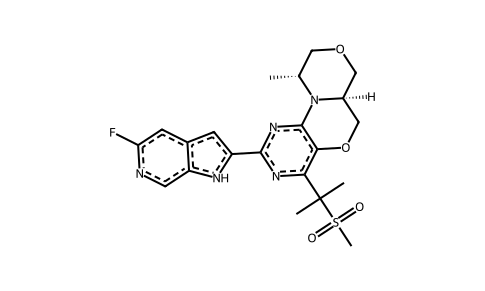 C[C@@H]1COC[C@H]2COc3c(nc(-c4cc5cc(F)ncc5[nH]4)nc3C(C)(C)S(C)(=O)=O)N21